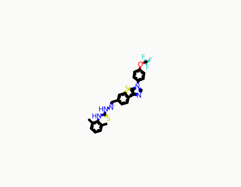 Cc1cccc(C)c1NC(=S)N/N=C/c1ccc2c(c1)sc1c2ncn1-c1ccc(OC(F)(F)F)cc1